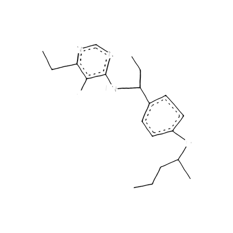 CCCC(C)Oc1ccc(C(CC)Nc2ncnc(CC)c2Cl)cc1